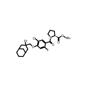 CCC1(COc2cc(F)c(C(=O)N3CCC[C@H]3C(=O)OC(C)(C)C)cc2Cl)CC2CCCC(C2)C1